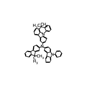 CC1(C)c2ccccc2-c2ccc(N(c3ccc4c(c3)c3ccccc3n4-c3ccccc3)c3ccc4c(c3)c3cccc5c3n4-c3ccccc3C5(C)C)cc21